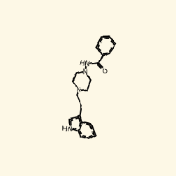 O=C(NN1CCN(CCc2c[nH]c3ccccc23)CC1)c1ccccc1